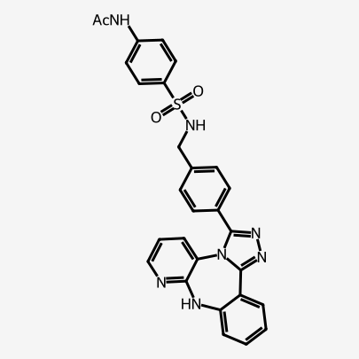 CC(=O)Nc1ccc(S(=O)(=O)NCc2ccc(-c3nnc4n3-c3cccnc3Nc3ccccc3-4)cc2)cc1